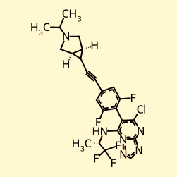 CC(C)N1C[C@@H]2C(C#Cc3cc(F)c(-c4c(Cl)nc5ncnn5c4N[C@@H](C)C(F)(F)F)c(F)c3)[C@@H]2C1